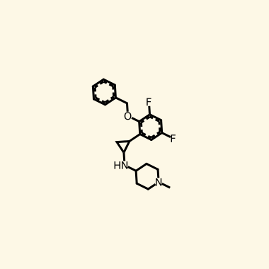 CN1CCC(NC2CC2c2cc(F)cc(F)c2OCc2ccccc2)CC1